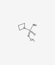 CN=S(=O)(N1CCC1)C(C)(C)C